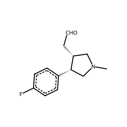 CN1C[C@@H](CC=O)[C@@H](c2ccc(F)cc2)C1